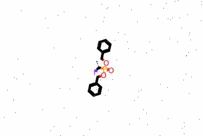 C[C@@H](I)P(=O)(OCc1ccccc1)OCc1ccccc1